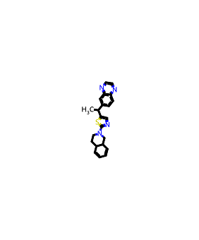 CC(c1ccc2nccnc2c1)c1cnc(N2CCC3C=CC=CC3C2)s1